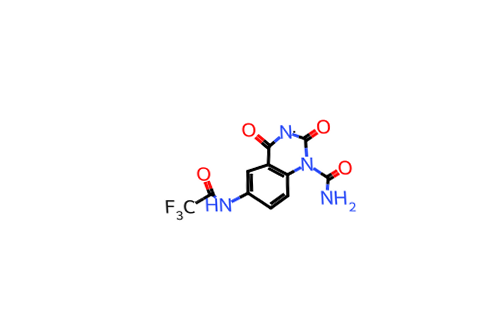 NC(=O)N1C(=O)[N]C(=O)c2cc(NC(=O)C(F)(F)F)ccc21